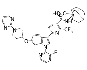 O=C(NC1(C(=O)O)C2CCC3CC(C2)CC1C3)c1ccc(-c2cn(-c3ncccc3F)c3cc(OC4CCN(c5ncccn5)CC4)ccc23)nc1C(F)(F)F